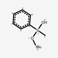 CC(C)(C)O[Si](C)(O)c1ccccc1